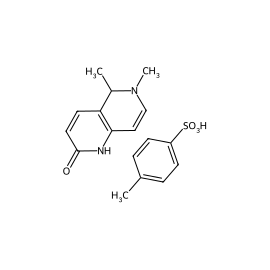 CC1c2ccc(=O)[nH]c2C=CN1C.Cc1ccc(S(=O)(=O)O)cc1